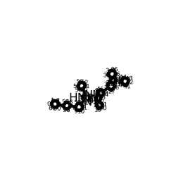 c1ccc(-c2ccc(-c3cccc(C4=NC(n5c6ccccc6c6cc(-c7ccc8c(c7)c7ccccc7n8-c7ccccc7)ccc65)NC(c5ccccc5)N4)c3)cc2)cc1